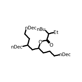 CCCCCCCCCCCCCC(CC(CCCCCCCCCC)CCCCCCCCCCCC)OC(=O)C(CC)CCCC